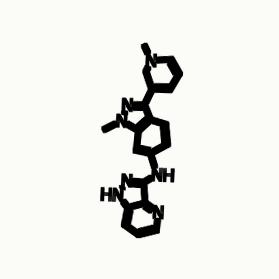 CN1C=CC=C(c2nn(C)c3cc(Nc4n[nH]c5cccnc45)ccc23)C1